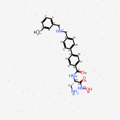 Cc1cccc(CNCc2ccc(-c3ccc(C(=O)N[C@@H](CN)C(=O)NO)cc3)cc2)c1